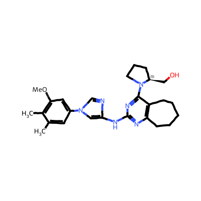 COc1cc(-n2cnc(Nc3nc4c(c(N5CCC[C@H]5CO)n3)CCCCC4)c2)cc(C)c1C